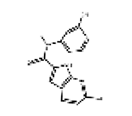 CN(C(=O)c1cc2ccc(F)cc2[nH]1)c1cccc(C#N)c1